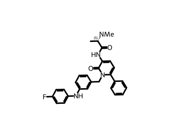 CN[C@@H](C)C(=O)Nc1ccc(-c2ccccc2)n(Cc2cccc(Nc3ccc(F)cc3)c2)c1=O